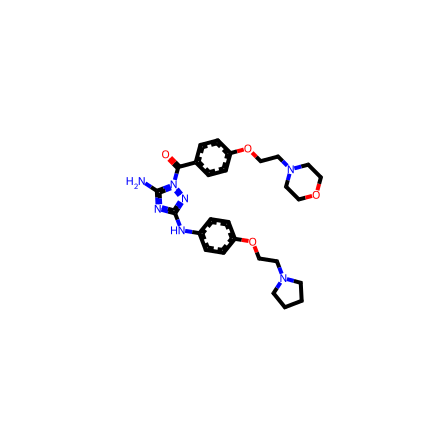 Nc1nc(Nc2ccc(OCCN3CCCC3)cc2)nn1C(=O)c1ccc(OCCN2CCOCC2)cc1